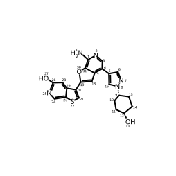 Nc1ncc(-c2cnn([C@H]3CC[C@H](O)CC3)c2)c2cc(-c3csc4cnc(O)cc34)oc12